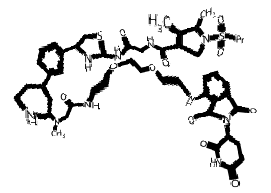 CC1C(C(=O)NCC(=O)NC2NC(c3cccc(C4CCNC(N(C)CC(=O)NCCOCCOCCNc5cccc6c5C(=O)N(C5CCC(=O)NC5=O)C6=O)C4)c3)CS2)CN(S(=O)(=O)C(C)C)C1C